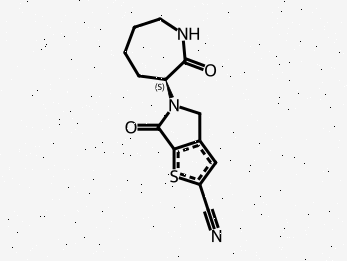 N#Cc1cc2c(s1)C(=O)N([C@H]1CCCCNC1=O)C2